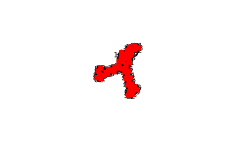 c1ccc([Si]2(c3ccccc3)c3cc(-c4cccc5c4oc4ccccc45)ccc3-c3ccc(-n4c5ccc(-c6ccc(-c7ccc(-c8cc9ccccc9c9ccccc89)cc7)cc6)cc5c5cc(-c6ccc(-c7ccc(-c8cc9ccccc9c9ccccc89)cc7)cc6)ccc54)cc32)cc1